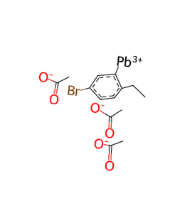 CC(=O)[O-].CC(=O)[O-].CC(=O)[O-].CCc1ccc(Br)c[c]1[Pb+3]